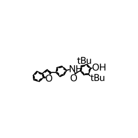 CC(C)(C)c1cc(C(=O)Nc2ccc(-c3cc4ccccc4o3)cc2)cc(C(C)(C)C)c1O